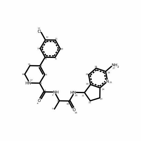 CC(NC(=O)C1C=C(c2cccc(Cl)c2)CCN1)C(=O)NC1CCc2nc(N)ccc21